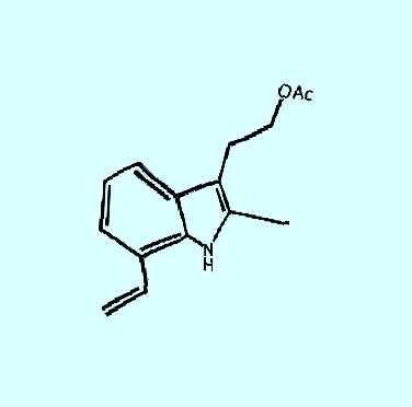 C=Cc1cccc2c(CCOC(C)=O)c(C)[nH]c12